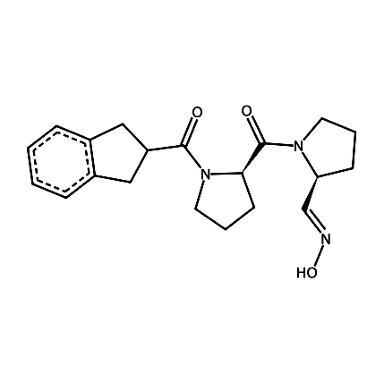 O=C([C@H]1CCCN1C(=O)C1Cc2ccccc2C1)N1CCC[C@H]1C=NO